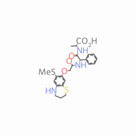 CSc1cc2c(cc1OCC(=O)N[C@@H](C(=O)N[C@@H](C)C(=O)O)c1ccccc1)SCCCN2